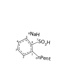 CCCCCc1ccccc1S(=O)(=O)O.[NaH]